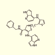 O=C(NCc1ccccc1)c1ccsc1Nc1ccnc2[nH]ccc12.O=C(O)c1sccc1Nc1ccnc2[nH]ccc12